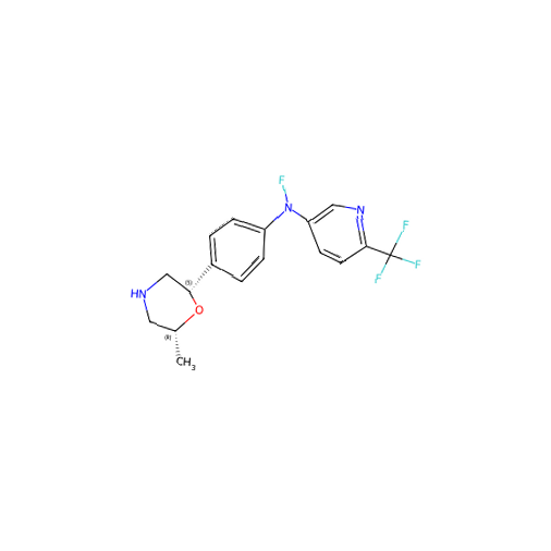 C[C@@H]1CNC[C@H](c2ccc(N(F)c3ccc(C(F)(F)F)nc3)cc2)O1